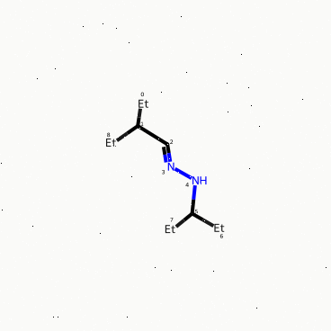 CCC(C=NNC(CC)CC)CC